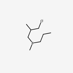 CCCB(C)CC(C)CCl